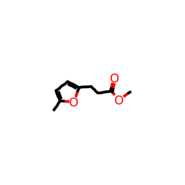 COC(=O)CCc1ccc(C)o1